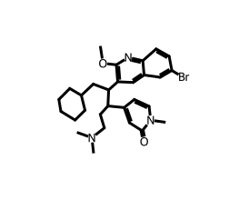 COc1nc2ccc(Br)cc2cc1C(CC1CCCCC1)C(CCN(C)C)c1ccn(C)c(=O)c1